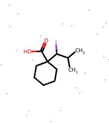 CC(C)C(I)C1(C(=O)O)CCCCC1